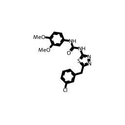 COc1ccc(NC(=O)Nc2nnc(Cc3cccc(Cl)c3)s2)cc1OC